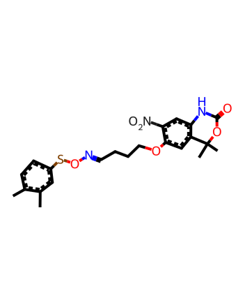 Cc1ccc(SON=CCCCOc2cc3c(cc2[N+](=O)[O-])NC(=O)OC3(C)C)cc1C